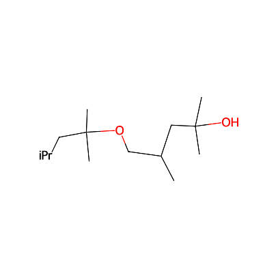 CC(C)CC(C)(C)OCC(C)CC(C)(C)O